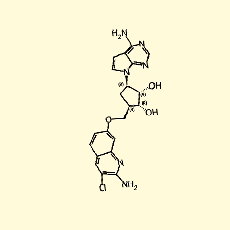 Nc1nc2cc(OC[C@H]3C[C@@H](n4ccc5c(N)ncnc54)[C@H](O)[C@@H]3O)ccc2cc1Cl